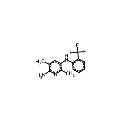 Cc1cc(Nc2ccccc2C(F)(F)F)c(C)nc1N